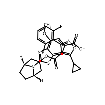 COc1cc(C(=O)O)cc2sc(N3[C@@H]4CC[C@H]3CC(OC(=O)c3c(-c5c(F)cccc5F)noc3C3CC3)C4)nc12